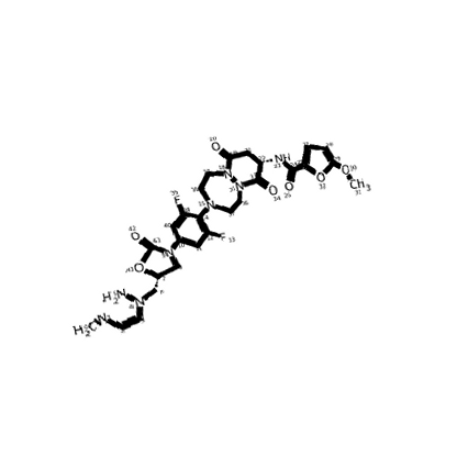 C=N/C=C\N(N)C[C@H]1CN(c2cc(F)c(N3CCN4C(=O)C[C@H](NC(=O)c5ccc(OC)o5)C(=O)N4CC3)c(F)c2)C(=O)O1